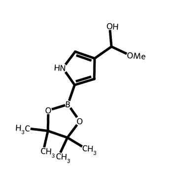 COC(O)c1c[nH]c(B2OC(C)(C)C(C)(C)O2)c1